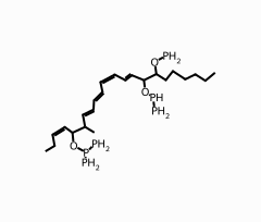 CC/C=C\C(OP(P)P)C(C)/C=C/C=C/C=C\C=C\C(OPP)C(CCCCCC)OP